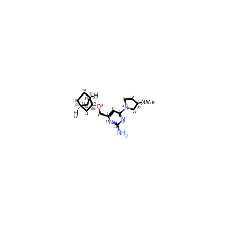 CN[C@@H]1CCN(c2cc(CO[C@@H]3C[C@H]4CC[C@H]3C4)nc(N)n2)C1